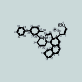 CCC(C)/C=C\C(c1cc2ccc3ccccc3c2cc1/C=C\[N+]1=CC=CCC1c1cc(-c2ccccc2)ccc1C)[C@H](C)CC